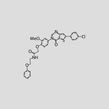 COc1cc(-n2cnc3cc(-c4ccc(Cl)cc4)sc3c2=O)ccc1OCC(=O)NCCOc1ccccc1